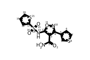 NC(=O)c1c(-c2ccsc2)noc1NS(=O)(=O)c1cccs1